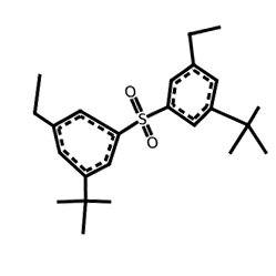 CCc1cc(C(C)(C)C)cc(S(=O)(=O)c2cc(CC)cc(C(C)(C)C)c2)c1